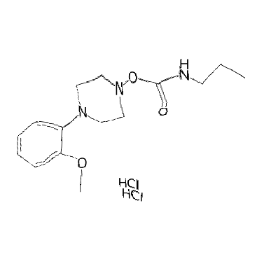 CCCNC(=O)ON1CCN(c2ccccc2OC)CC1.Cl.Cl